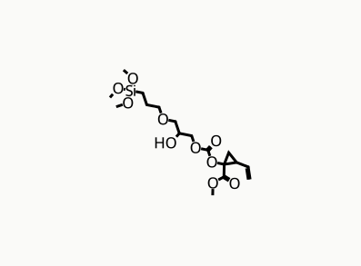 C=CC1CC1(OC(=O)OCC(O)COCCC[Si](OC)(OC)OC)C(=O)OC